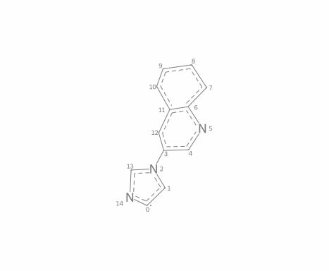 [c]1cn(-c2cnc3ccccc3c2)cn1